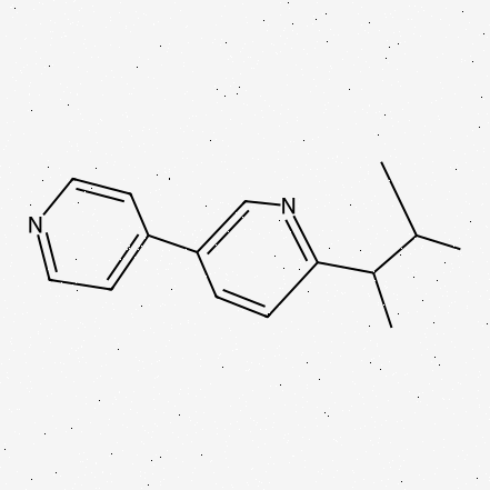 CC(C)C(C)c1ccc(-c2ccncc2)cn1